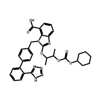 CC(OC(=O)OC1CCCCC1)C(C)Oc1nc2cccc(C(=O)O)c2n1Cc1ccc(-c2ccccc2-c2nnn[nH]2)cc1